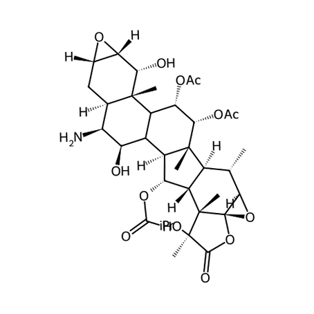 CC(=O)O[C@H]1C2C([C@@H](O)[C@@H](N)[C@H]3C[C@@H]4O[C@@H]4[C@H](O)[C@]23C)[C@@H]2[C@@H](OC(=O)C(C)C)[C@@H]3[C@H]([C@H](C)[C@H]4O[C@]45OC(=O)[C@@](C)(O)[C@]35C)[C@@]2(C)[C@H]1OC(C)=O